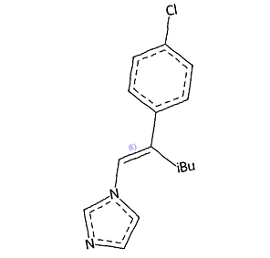 CCC(C)/C(=C\n1ccnc1)c1ccc(Cl)cc1